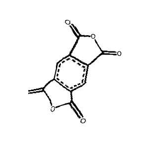 C=C1OC(=O)c2cc3c(cc21)C(=O)OC3=O